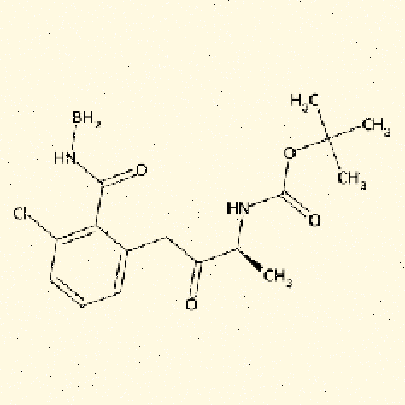 BNC(=O)c1c(Cl)cccc1CC(=O)[C@H](C)NC(=O)OC(C)(C)C